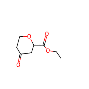 CCOC(=O)C1CC(=O)CCO1